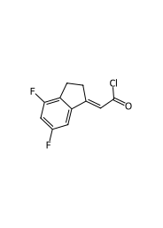 O=C(Cl)C=C1CCc2c(F)cc(F)cc21